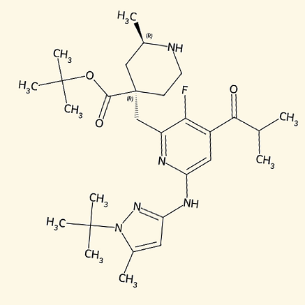 Cc1cc(Nc2cc(C(=O)C(C)C)c(F)c(C[C@@]3(C(=O)OC(C)(C)C)CCN[C@H](C)C3)n2)nn1C(C)(C)C